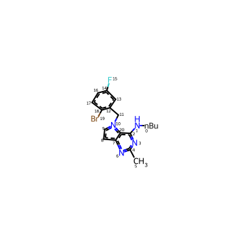 CCCCNc1nc(C)nc2ccn(Cc3cc(F)ccc3Br)c12